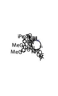 COc1ccc2c(O[C@@H]3C[C@H]4C(=O)N[C@]5(C(=O)NS(=O)(=O)C6(C)CC6)C[C@H]5/C=C\CC[C@H](C)C[C@@H](C)[C@H](NC(=O)OC(C)(C)C(C)(F)F)C(=O)N4C3)nc(-c3ccc(OC(C)C)cc3)c(OC)c2c1